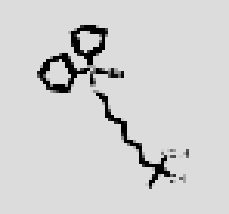 CC(O)(CCCCCCO[Si](c1ccccc1)(c1ccccc1)C(C)(C)C)C(=O)O